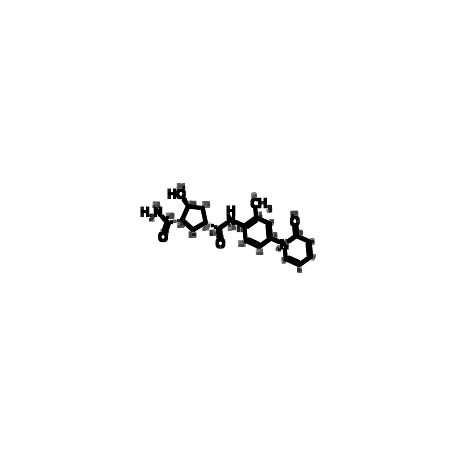 Cc1cc(-n2ccccc2=O)ccc1NC(=O)[C@@H]1C[C@H](C(N)=O)[C@@H](O)C1